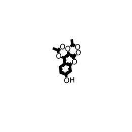 CC(=O)Oc1c(OC(C)=O)c2ccc(O)cc2oc1=O